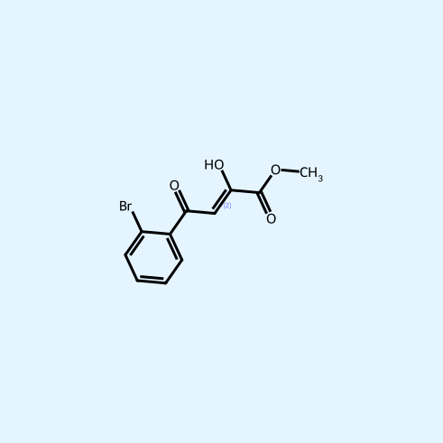 COC(=O)/C(O)=C/C(=O)c1ccccc1Br